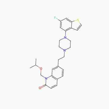 CC(C)OCn1c(=O)ccc2ccc(CCN3CCN(c4cc(F)cc5sccc45)CC3)cc21